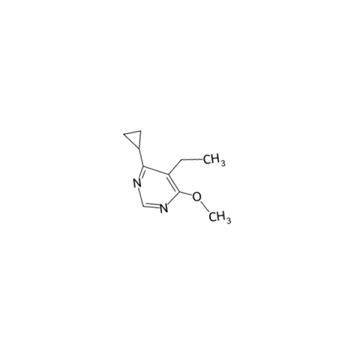 CCc1c(OC)ncnc1C1CC1